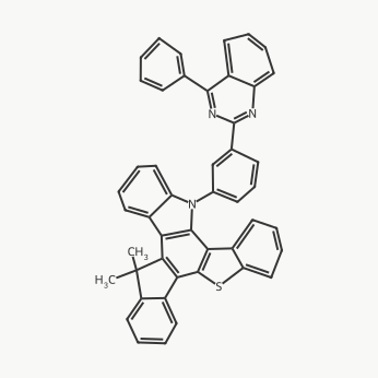 CC1(C)c2ccccc2-c2c1c1c3ccccc3n(-c3cccc(-c4nc(-c5ccccc5)c5ccccc5n4)c3)c1c1c2sc2ccccc21